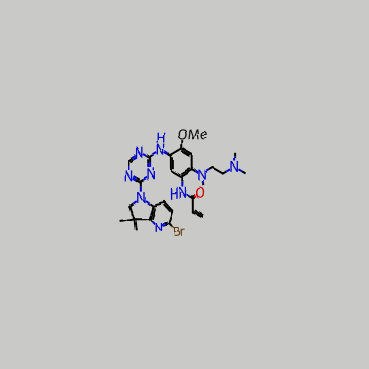 C=CC(=O)Nc1cc(Nc2ncnc(N3CC(C)(C)c4nc(Br)ccc43)n2)c(OC)cc1N(C)CCN(C)C